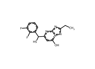 CCc1nc2nc(C(S)c3cccc(F)c3F)cc(O)n2n1